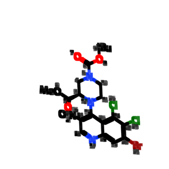 COC(=O)[C@H]1CN(C(=O)OC(C)(C)C)CCN1c1c([N+](=O)[O-])cnc2cc(Br)c(Cl)c(Cl)c12